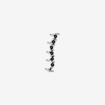 COC(C)CCOc1ccc(C(=O)Oc2ccc(C(=O)Oc3ccc(C(=O)Oc4ccc(OC(=O)c5ccc(OC(=O)c6ccc(OC(C)=O)c(C)c6)cc5C)cc4)c(C)c3)cc2C)cc1